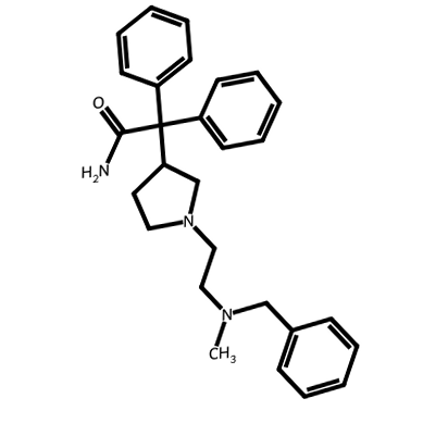 CN(CCN1CCC(C(C(N)=O)(c2ccccc2)c2ccccc2)C1)Cc1ccccc1